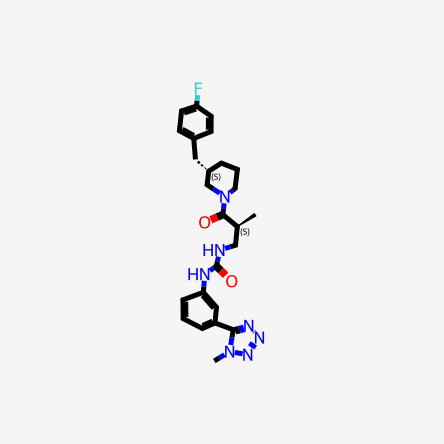 C[C@@H](CNC(=O)Nc1cccc(-c2nnnn2C)c1)C(=O)N1CCC[C@@H](Cc2ccc(F)cc2)C1